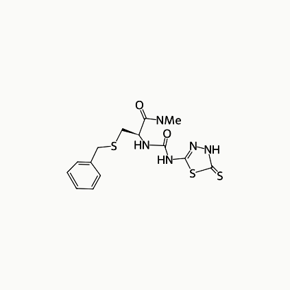 CNC(=O)[C@H](CSCc1ccccc1)NC(=O)Nc1n[nH]c(=S)s1